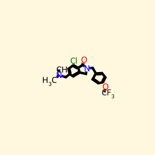 CN(C)Cc1cc(Cl)c2c(c1)CN(Cc1ccc(OC(F)(F)F)cc1)C2=O